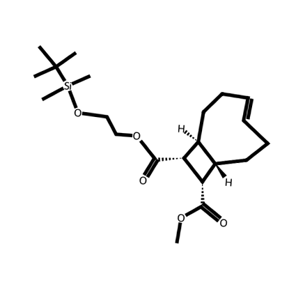 COC(=O)[C@H]1[C@H]2CC/C=C/CC[C@@H]2[C@H]1C(=O)OCCO[Si](C)(C)C(C)(C)C